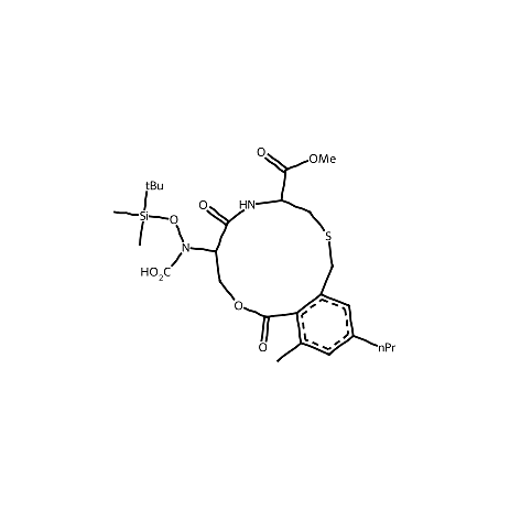 CCCc1cc(C)c2c(c1)CSCC(C(=O)OC)NC(=O)C(N(O[Si](C)(C)C(C)(C)C)C(=O)O)COC2=O